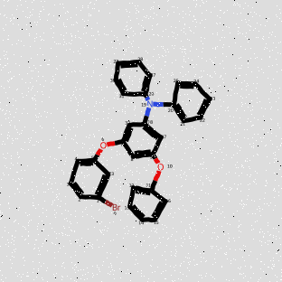 Brc1cccc(Oc2cc(Oc3ccccc3)cc(N(c3ccccc3)c3ccccc3)c2)c1